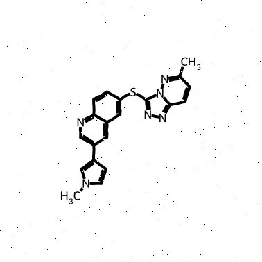 Cc1ccc2nnc(Sc3ccc4ncc(-c5ccn(C)c5)cc4c3)n2n1